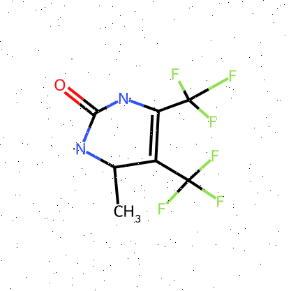 CC1[N]C(=O)[N]C(C(F)(F)F)=C1C(F)(F)F